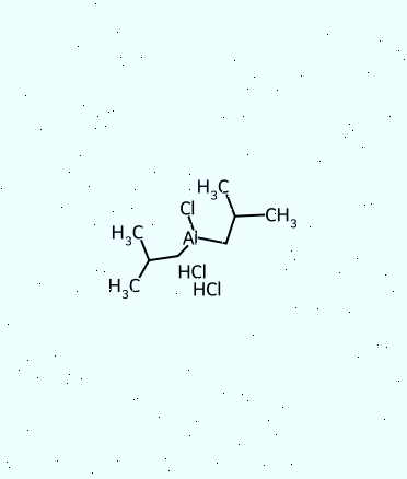 CC(C)[CH2][Al]([Cl])[CH2]C(C)C.Cl.Cl